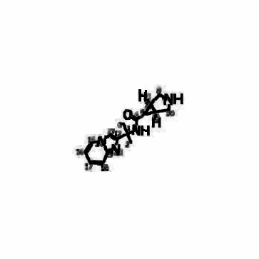 CC(C)(NC(=O)[C@H]1[C@@H]2CNC[C@@H]21)c1cn2ccccc2n1